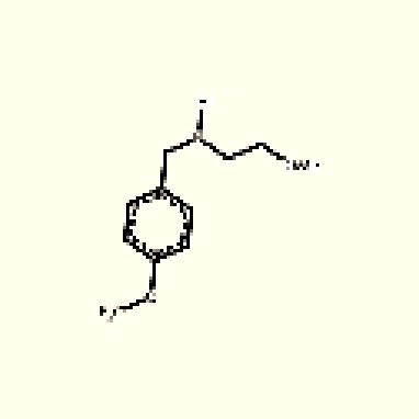 CCN(CCOC)Cc1ccc(OC(F)(F)F)cc1